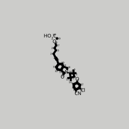 CC1(C)[C@H](Oc2ccc(C#N)c(Cl)c2)C(C)(C)[C@H]1N1Cc2cc(C#CCCCCOCC(=O)O)ccc2C1=O